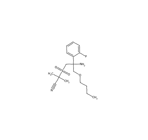 CCCCOCC(N)(CS(=O)(=O)C(C)(C)C#N)c1ccccc1F